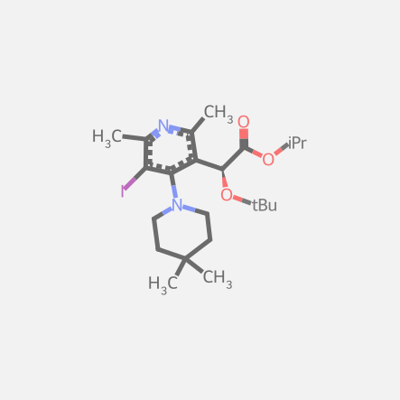 Cc1nc(C)c([C@H](OC(C)(C)C)C(=O)OC(C)C)c(N2CCC(C)(C)CC2)c1I